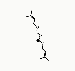 CC(C)=CCOBOBOCC=C(C)C